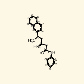 CC(CC(=N)CC(=O)Nc1ccccn1)c1ccc2ccccc2c1